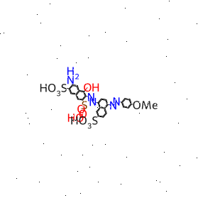 COc1ccc(N=Nc2ccc(N=Nc3c(SOOO)cc4cc(S(=O)(=O)O)c(N)cc4c3O)c3cc(S(=O)(=O)O)ccc23)cc1